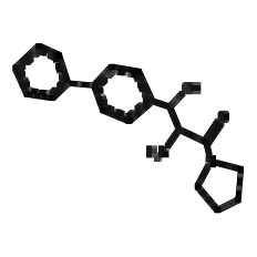 NC(C(=O)N1CCCC1)C(O)c1ccc(-c2ccccc2)cc1